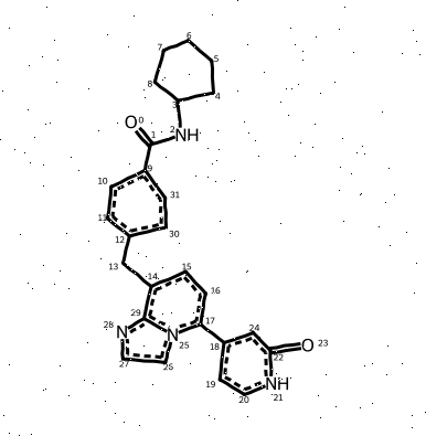 O=C(NC1CCCCC1)c1ccc(Cc2ccc(-c3cc[nH]c(=O)c3)n3ccnc23)cc1